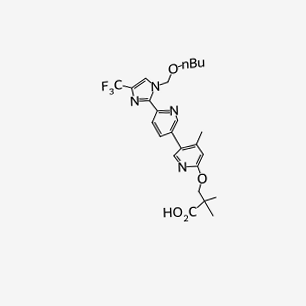 CCCCOCn1cc(C(F)(F)F)nc1-c1ccc(-c2cnc(OCC(C)(C)C(=O)O)cc2C)cn1